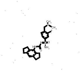 CN(C)Cc1ccc([S@](N)(=O)=NC(=O)Nc2c3c(cc4c2CCC4)CCC3)cc1F